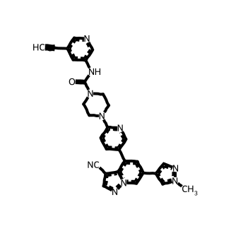 C#Cc1cncc(NC(=O)N2CCN(c3ccc(-c4cc(-c5cnn(C)c5)cn5ncc(C#N)c45)cn3)CC2)c1